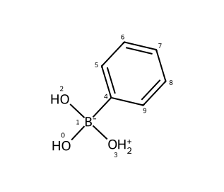 O[B-](O)([OH2+])c1ccccc1